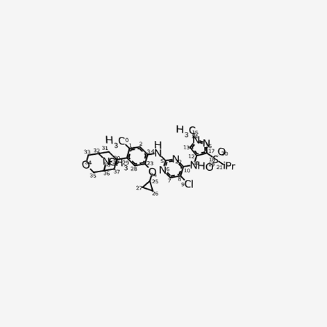 Cc1cc(Nc2ncc(Cl)c(Nc3cn(C)nc3S(=O)(=O)C(C)C)n2)c(OC2CC2)cc1C1CC2COCC(C1)N2C